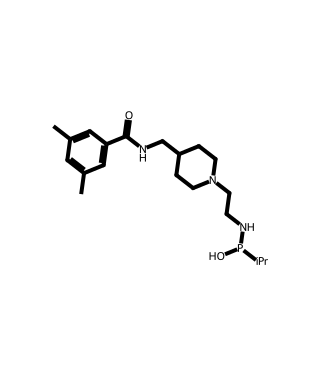 Cc1cc(C)cc(C(=O)NCC2CCN(CCNP(O)C(C)C)CC2)c1